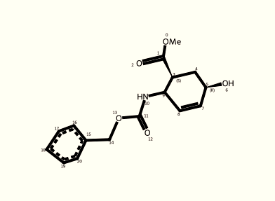 COC(=O)[C@H]1C[C@@H](O)C=CC1NC(=O)OCc1ccccc1